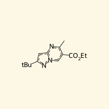 CCOC(=O)c1cn2nc(C(C)(C)C)cc2nc1C